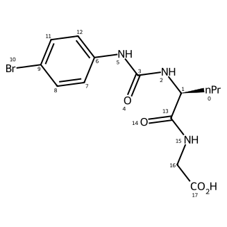 CCC[C@H](NC(=O)Nc1ccc(Br)cc1)C(=O)NCC(=O)O